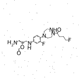 NC[C@@H](CNc1ccc(N2CCNN(C(=O)CCCF)CC2)c(F)c1)OC=O